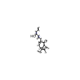 C=C/C=C(O)\C=C(/C)CN1N=CC2CC(C1=O)N(C)C(C)=C2SC